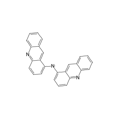 c1ccc2nc3cccc([N]c4cccc5nc6ccccc6cc45)c3cc2c1